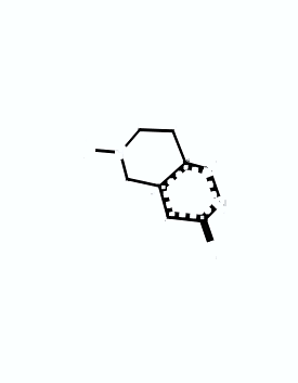 O=C(O)N1CCc2n[nH]c(=O)cc2C1